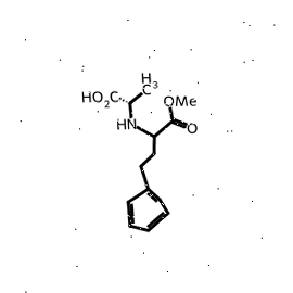 COC(=O)C(CCc1ccccc1)N[C@@H](C)C(=O)O